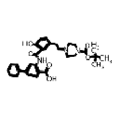 CC(C)(C)OC(=O)N1CCN(CCc2ccc(O)c(C(=O)Nc3cc(-c4ccccc4)ccc3C(=O)O)c2)CC1